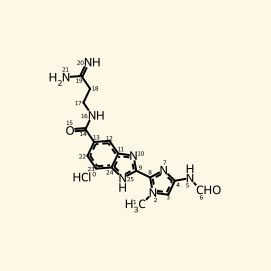 Cl.Cn1cc(NC=O)nc1-c1nc2cc(C(=O)NCCC(=N)N)ccc2[nH]1